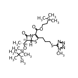 C[C@@H](O[Si](C)(C)C(C)(C)C)[C@H]1C(=O)N2C(C(=O)OCC[Si](C)(C)C)=C(CCCSc3nnnn3C)S[C@H]12